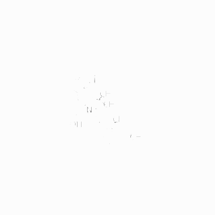 C/C=C1\CCCC(/C=C/C2N(CCO)C3C=CC4=C(C=CCC4)C3C2(C)C)=C1Cl